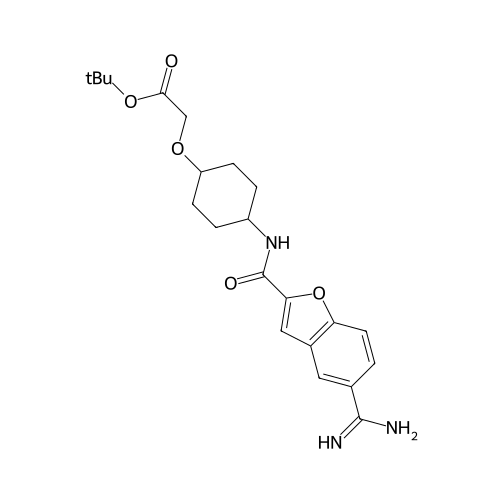 CC(C)(C)OC(=O)COC1CCC(NC(=O)c2cc3cc(C(=N)N)ccc3o2)CC1